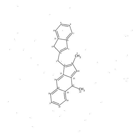 CC1=C(CC2=Cc3ccccc3C2)C2=Cc3ccccc3C(C)C2=C1